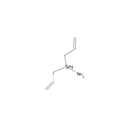 C=CC[SiH](N)CC=C